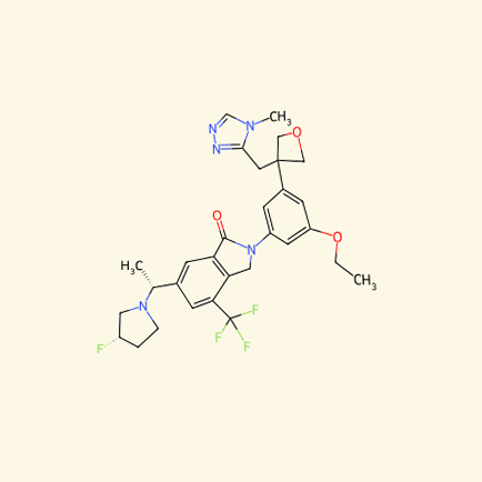 CCOc1cc(N2Cc3c(cc([C@@H](C)N4CC[C@H](F)C4)cc3C(F)(F)F)C2=O)cc(C2(Cc3nncn3C)COC2)c1